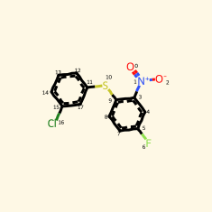 O=[N+]([O-])c1cc(F)ccc1Sc1cccc(Cl)c1